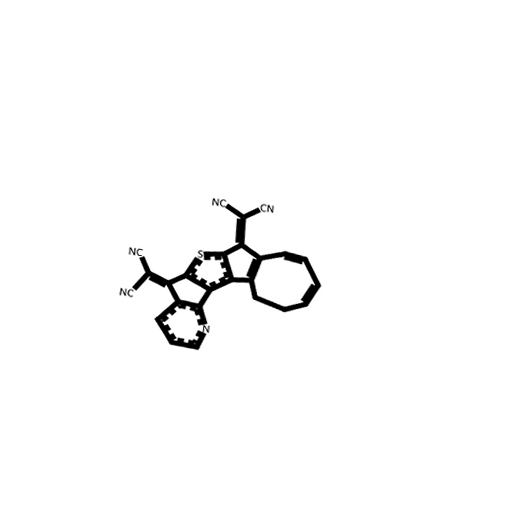 N#CC(C#N)=C1C2=C(CC/C=C\C=C/2)c2c1sc1c2-c2ncccc2C1=C(C#N)C#N